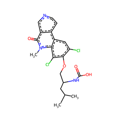 CC(C)CC(COc1c(Cl)cc2c3ccncc3c(=O)n(C)c2c1Cl)NC(=O)O